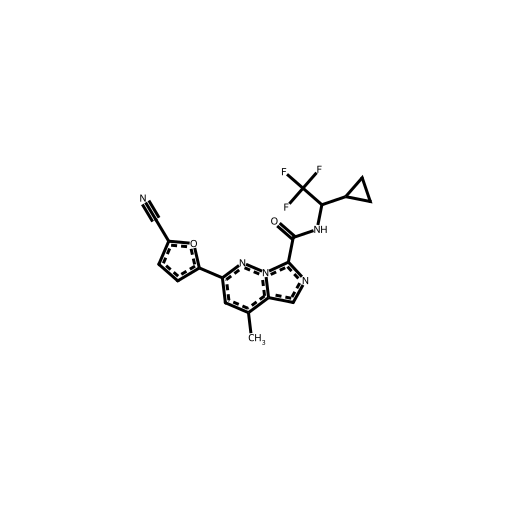 Cc1cc(-c2ccc(C#N)o2)nn2c(C(=O)NC(C3CC3)C(F)(F)F)ncc12